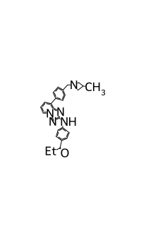 CCC(=O)c1ccc(Nc2nc3c(-c4ccc(CN5CC(C)C5)cc4)cccn3n2)cc1